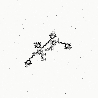 CON1C(C)(C)CC(CCCCNc2nc(NCCO)nc(N(CCCCCCN(c3nc(NCCO)nc(NCCCCC4CC(C)(C)N(OC)C(C)(C)C4)n3)C3CC(C)(C)N(OC)C(C)(C)C3)C3CC(C)(C)N(OC)C(C)(C)C3)n2)CC1(C)C